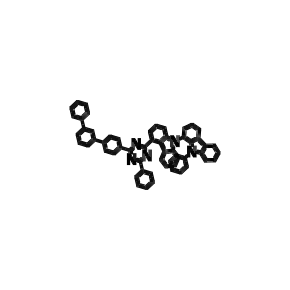 c1ccc(-c2cccc(-c3ccc(-c4nc(-c5ccccc5)nc(-c5cccc6c5c5ccccc5n6-c5cccc6c7ccccc7n(-c7ccccc7)c56)n4)cc3)c2)cc1